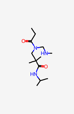 CCC(=O)N(CNC)CC(C)(C)C(=O)NC(C)C